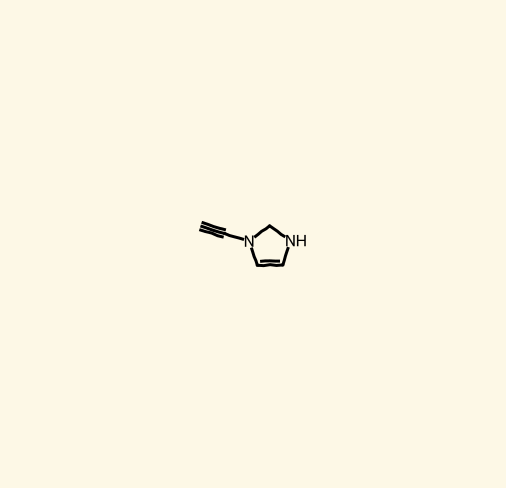 C#CN1C=CNC1